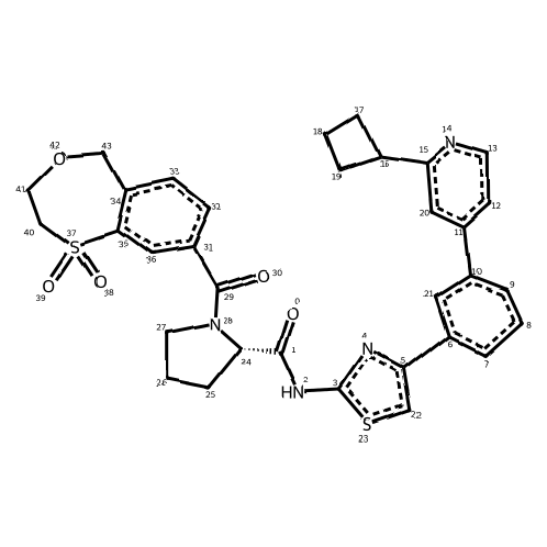 O=C(Nc1nc(-c2cccc(-c3ccnc(C4CCC4)c3)c2)cs1)[C@@H]1CCCN1C(=O)c1ccc2c(c1)S(=O)(=O)CCOC2